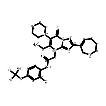 [2H]C([2H])([2H])Sc1ccc(NC(=O)Cn2c(CC)c(N3CCNCC3)c(=O)n3nc(C4=CCCCOC4)nc23)c(Cl)c1